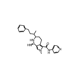 CC(CCc1ccccc1)C1CCc2c(cn(C)c2C(=O)Nc2ccncc2)S(=N)N1